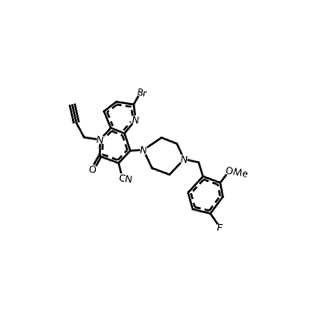 C#CCn1c(=O)c(C#N)c(N2CCN(Cc3ccc(F)cc3OC)CC2)c2nc(Br)ccc21